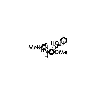 CNc1cc(C)nc(Nc2ccc(OC)c(OC[C@H](O)CN3CCCCCC3)c2)n1